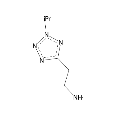 CC(C)n1nnc(CC[NH])n1